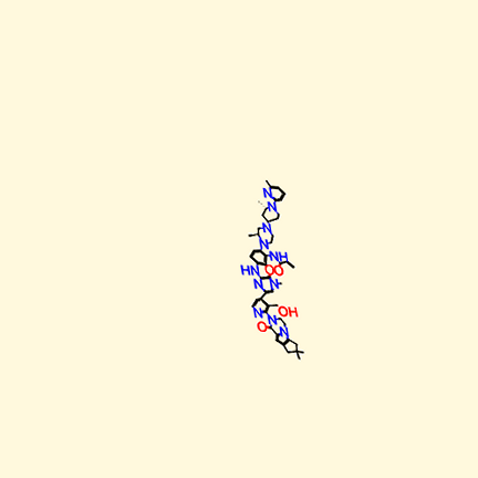 C=CC(=O)Nc1cc(Nc2nc(-c3ccnc(N4CCn5c(cc6c5CC(C)(C)C6)C4=O)c3CO)cn(C)c2=O)ccc1N1CCN(C2CCN(c3cccc(C)n3)[C@@H](C)C2)C[C@@H]1C